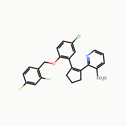 CCOC(=O)c1cccnc1C1=C(c2cc(Cl)ccc2OCc2ccc(F)cc2F)CCC1